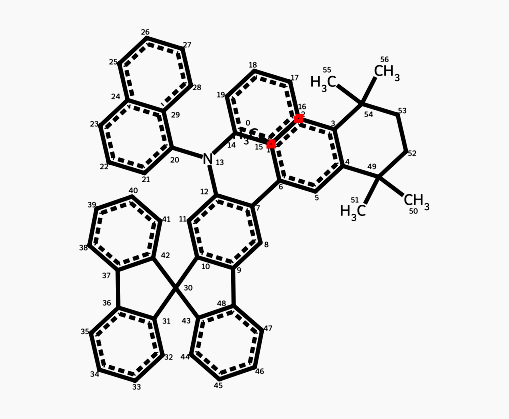 Cc1cc2c(cc1-c1cc3c(cc1N(c1ccccc1)c1cccc4ccccc14)C1(c4ccccc4-c4ccccc41)c1ccccc1-3)C(C)(C)CCC2(C)C